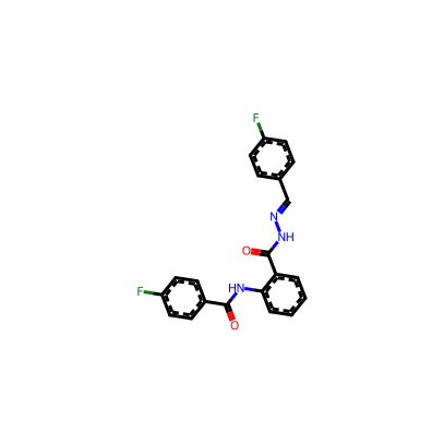 O=C(Nc1ccccc1C(=O)NN=Cc1ccc(F)cc1)c1ccc(F)cc1